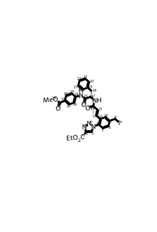 CCOC(=O)c1cn(-c2ccc(CI)cc2/C=C/C(=O)N[C@@H](Cc2ccccc2)C(=O)Nc2ccc(C(=O)OC)cc2)nn1